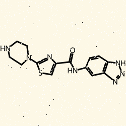 O=C(Nc1ccc2[nH]nnc2c1)c1csc(N2CCNCC2)n1